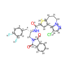 O=C(N[C@@H](Cc1ccc(F)c(F)c1)CN1C(=O)c2ccccc2C1=O)c1cc2c(s1)CCCn1ncc(Cl)c1-2